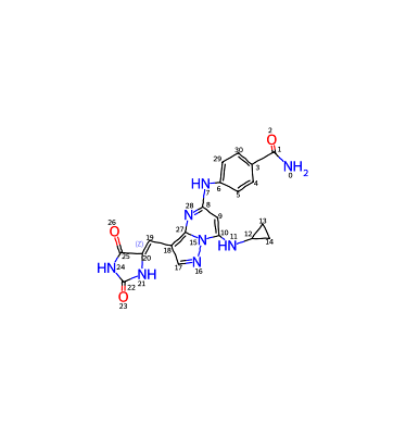 NC(=O)c1ccc(Nc2cc(NC3CC3)n3ncc(/C=C4\NC(=O)NC4=O)c3n2)cc1